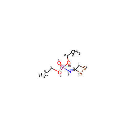 CCOP(=O)(N=C1CSS1)OCC